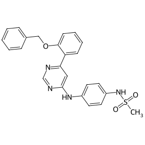 CS(=O)(=O)Nc1ccc(Nc2cc(-c3ccccc3OCc3ccccc3)ncn2)cc1